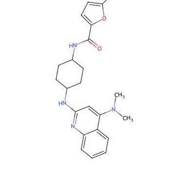 CN(C)c1cc(NC2CCC(NC(=O)c3ccc(Br)o3)CC2)nc2ccccc12